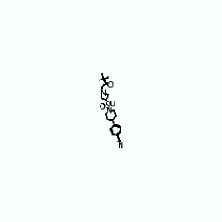 CC(C)(C)C(=O)CN1CC(S(=O)(=O)N2CCC(c3ccc(C#N)cc3)CC2)C1